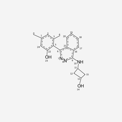 Cc1cc(C)c(-c2nnc(NC3CC(O)C3)c3ccccc23)c(O)c1